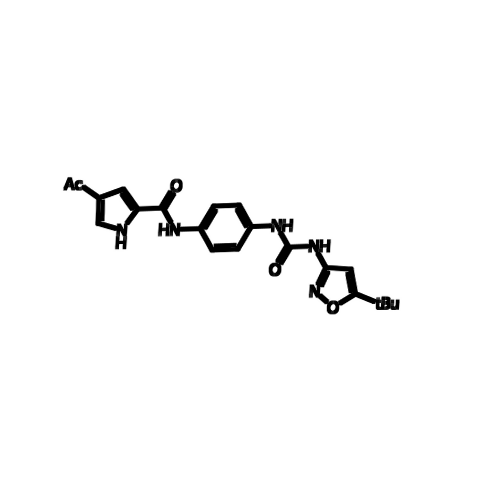 CC(=O)c1c[nH]c(C(=O)Nc2ccc(NC(=O)Nc3cc(C(C)(C)C)on3)cc2)c1